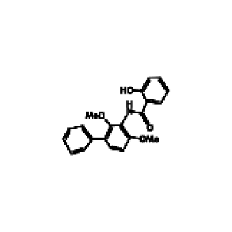 COc1ccc(-c2ccccc2)c(OC)c1NC(=O)c1ccccc1O